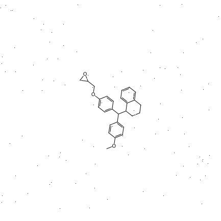 COc1ccc(C(c2ccc(OCC3CO3)cc2)C2CCCc3ccccc32)cc1